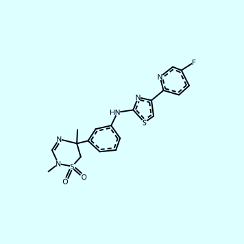 CN1C=NC(C)(c2cccc(Nc3nc(-c4ccc(F)cn4)cs3)c2)CS1(=O)=O